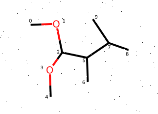 COC(OC)C(C)C(C)C